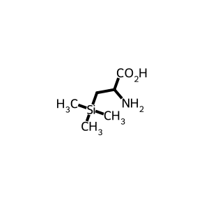 C[Si](C)(C)CC(N)C(=O)O